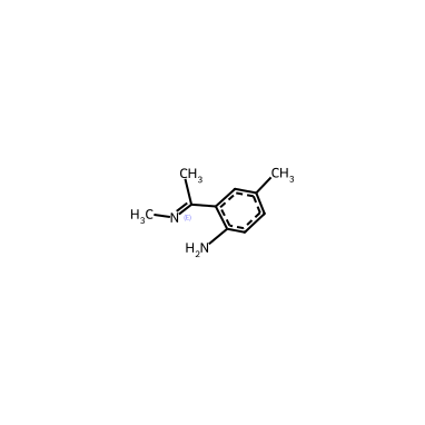 C/N=C(\C)c1cc(C)ccc1N